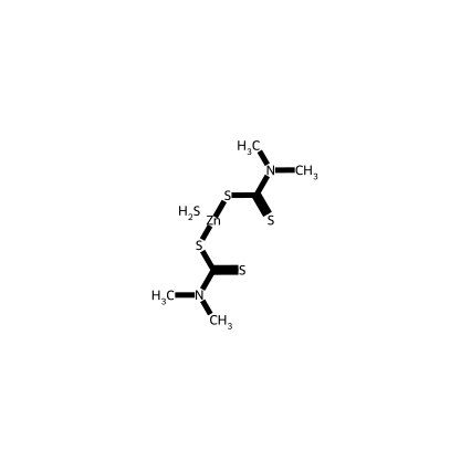 CN(C)C(=S)[S][Zn][S]C(=S)N(C)C.S